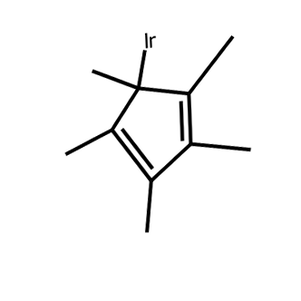 CC1=C(C)[C](C)([Ir])C(C)=C1C